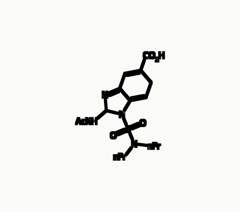 CCCN(CCC)S(=O)(=O)N1C2=CCC(C(=O)O)=CC2=NC1NC(C)=O